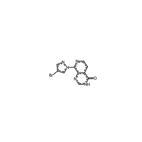 O=c1[nH]cnc2c(-n3cc(Br)cn3)nccc12